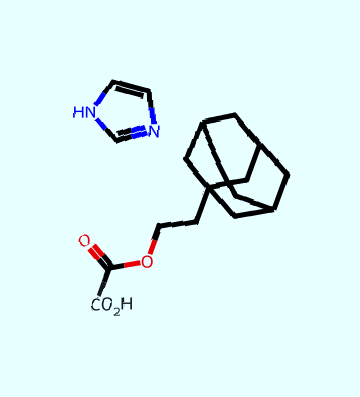 O=C(O)C(=O)OCCC12CC3CC(CC(C3)C1)C2.c1c[nH]cn1